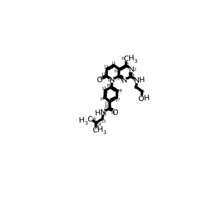 Cc1nc(NCCO)nc2c1ccc(=O)n2-c1ccc(C(=O)NCC(C)C)cc1